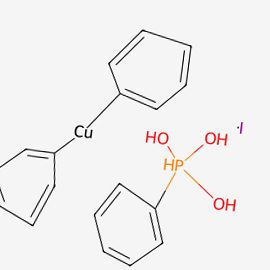 O[PH](O)(O)c1ccccc1.[I].c1cc[c]([Cu][c]2ccccc2)cc1